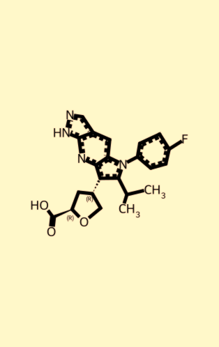 CC(C)c1c([C@@H]2CO[C@@H](C(=O)O)C2)c2nc3[nH]ncc3cc2n1-c1ccc(F)cc1